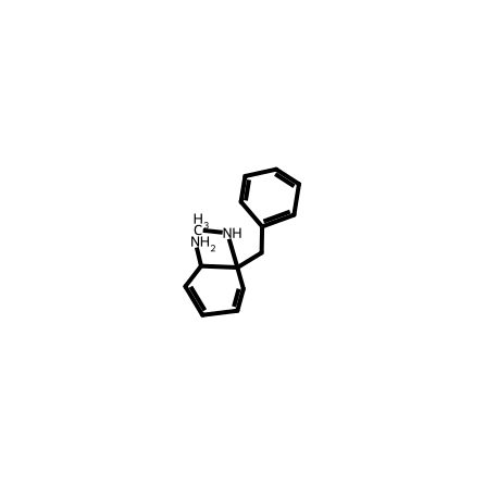 CNC1(Cc2ccccc2)C=CC=CC1N